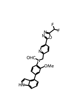 COc1cc(-c2cccc3[nH]ccc23)ccc1N(C=O)Cc1ccc(-c2nnc(C(F)F)o2)cn1